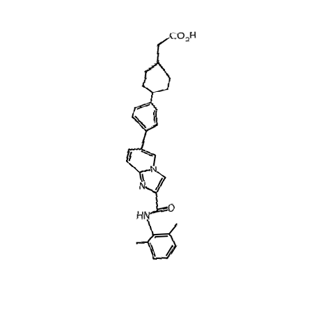 Cc1cccc(C)c1NC(=O)c1cn2cc(-c3ccc(C4CCC(CC(=O)O)CC4)cc3)ccc2n1